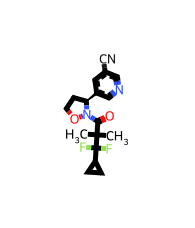 CC(C)(C(=O)N1OCC[C@H]1c1cncc(C#N)c1)C(F)(F)C1CC1